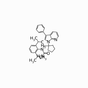 CC(C)c1cccc(C(C)C)c1N(CC1(n2cc(-c3ccccc3)c3cccnc32)CCCC1)C(N)=O